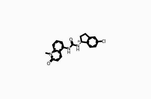 Cn1c(=O)ccc2c(NC(=O)N[C@@H]3CCc4cc(Cl)ccc43)cccc21